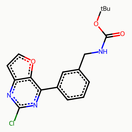 CC(C)(C)OC(=O)NCc1cccc(-c2nc(Cl)nc3ccoc23)c1